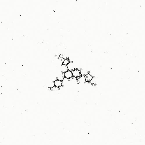 Cn1cc(-c2nc(-c3ccc(Cl)cc3)cc3c(=O)n([C@@H]4CC[C@H](O)C4)cnc23)cn1